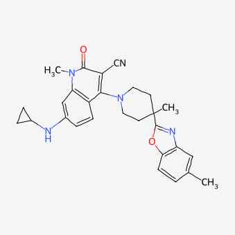 Cc1ccc2oc(C3(C)CCN(c4c(C#N)c(=O)n(C)c5cc(NC6CC6)ccc45)CC3)nc2c1